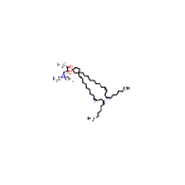 CCCCC/C=C\C/C=C\CCCCCCCCC1(CCCCCCCC/C=C\C/C=C\CCCCC)CCC2(C1)O[C@@H](CN(C)C)[C@@H](C)O2